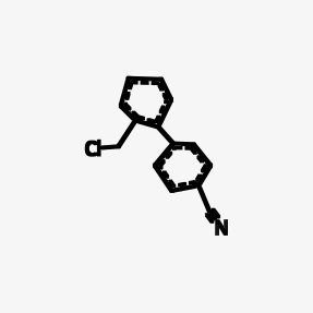 N#Cc1ccc(-c2ccccc2CCl)cc1